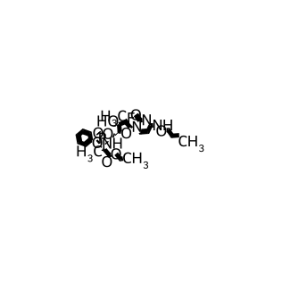 CCCCONc1ccn([C@@H]2O[C@H](COP(=O)(N[C@@H](C)C(=O)OCC)Oc3ccccc3)C(O)[C@@]2(C)F)c(=O)n1